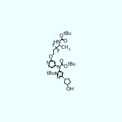 C[C@H](NC(=O)OC(C)(C)C)C(F)(F)CCOc1cc(N(C(=O)OC(C)(C)C)c2cc([C@H]3CC[C@@H](O)C3)nn2C(C)(C)C)ccn1